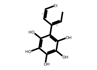 C/C=C(\C=C/CC)c1c(O)c(O)c(O)c(O)c1O